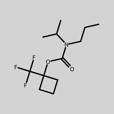 CCCN(C(=O)OC1(C(F)(F)F)CCC1)C(C)C